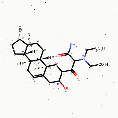 CC[C@H]1CC[C@H]2[C@@H]3CC=C4CC(O)C(C(=O)C(C(N)=O)N(CC(=O)O)CC(=O)O)C[C@]4(C)[C@H]3CC[C@]12C